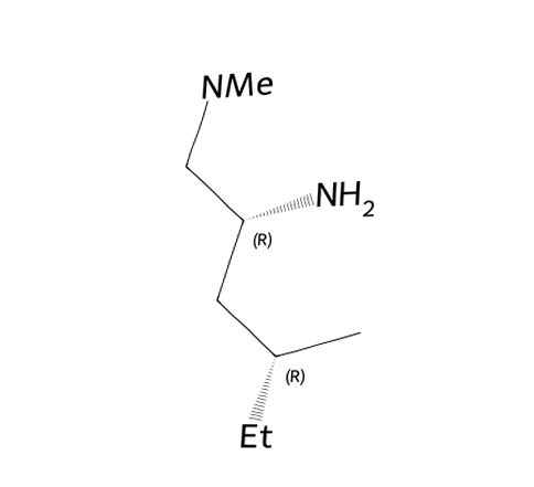 CC[C@@H](C)C[C@@H](N)CNC